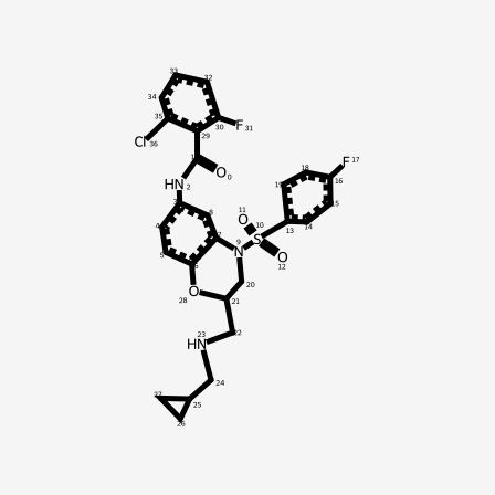 O=C(Nc1ccc2c(c1)N(S(=O)(=O)c1ccc(F)cc1)CC(CNCC1CC1)O2)c1c(F)cccc1Cl